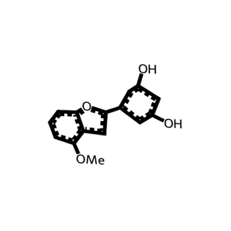 COc1cccc2oc(-c3cc(O)cc(O)c3)cc12